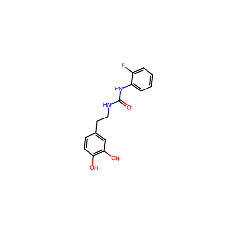 O=C(NCCc1ccc(O)c(O)c1)Nc1ccccc1F